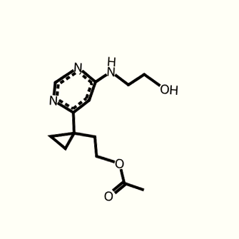 CC(=O)OCCC1(c2cc(NCCO)ncn2)CC1